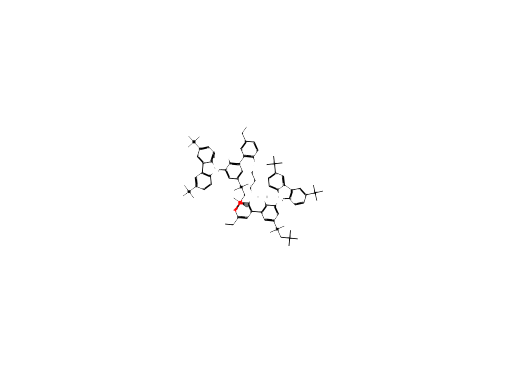 CCc1ccc(OCCCOc2ccc(CC)cc2-c2cc(C(C)(C)CC(C)(C)C)cc(-n3c4ccc(C(C)(C)C)cc4c4cc(C(C)(C)C)ccc43)c2O)c(-c2cc(C(C)(C)CC(C)(C)C)cc(-n3c4ccc(C(C)(C)C)cc4c4cc(C(C)(C)C)ccc43)c2O)c1